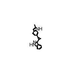 Cc1cc2ccc(C3CC3c3n[nH]c4ccccc34)cc2[nH]1